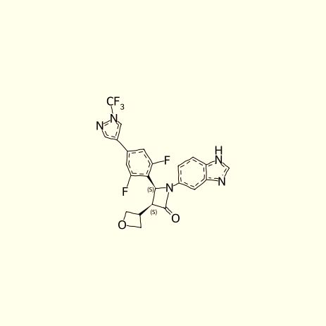 O=C1[C@@H](C2COC2)[C@@H](c2c(F)cc(-c3cnn(C(F)(F)F)c3)cc2F)N1c1ccc2[nH]cnc2c1